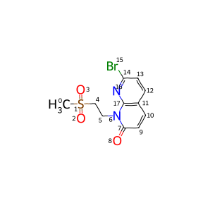 CS(=O)(=O)CCn1c(=O)ccc2ccc(Br)nc21